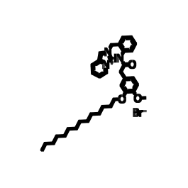 CCCCCCCCCCCCCCOc1cc(CC(=O)Nc2ccccc2Cn2cc3cccc[n+]3c2)ccc1OC.[Br-]